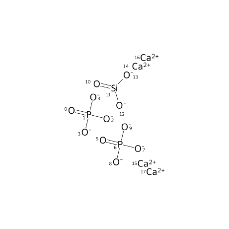 O=P([O-])([O-])[O-].O=P([O-])([O-])[O-].O=[Si]([O-])[O-].[Ca+2].[Ca+2].[Ca+2].[Ca+2]